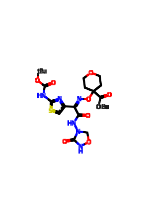 CC(C)COC(=O)C1(O/N=C(\C(=O)NN2CONC2=O)c2csc(NC(=O)OC(C)(C)C)n2)CCOCC1